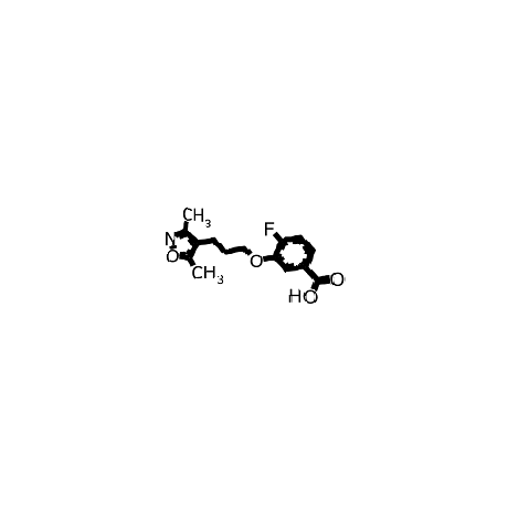 Cc1noc(C)c1CCCOc1cc(C(=O)O)ccc1F